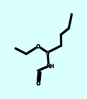 CCCCN(N[C]=O)OCC